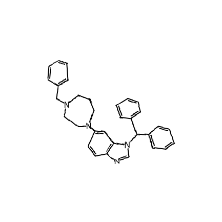 c1ccc(CN2CCCN(c3ccc4ncn(C(c5ccccc5)c5ccccc5)c4c3)CC2)cc1